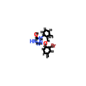 Cc1ccc(OCc2c(C)cccc2-n2nn[nH]c2=O)c(Br)c1